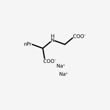 CCCC(NCC(=O)[O-])C(=O)[O-].[Na+].[Na+]